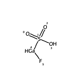 O=[S](=O)(O)[GaH][F]